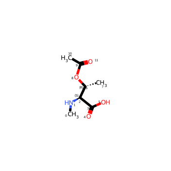 CN[C@H](C(=O)O)[C@@H](C)OC(C)=O